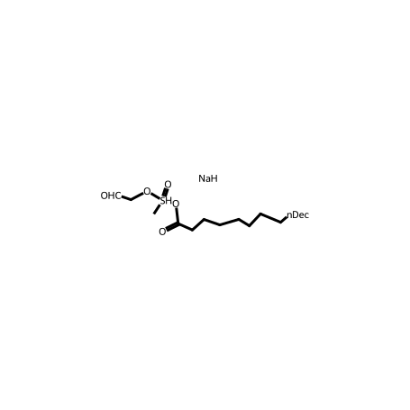 CCCCCCCCCCCCCCCCCC(=O)O[SH](C)(=O)OCC=O.[NaH]